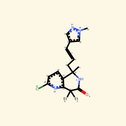 CCC1(CC)C(=O)NC(C)(C/C=C/c2cnn(C)c2)c2ccc(Cl)nc21